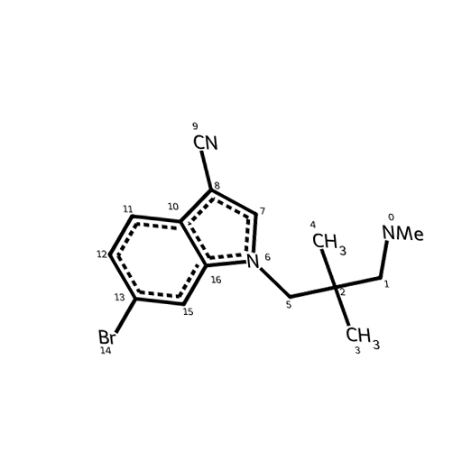 CNCC(C)(C)Cn1cc(C#N)c2ccc(Br)cc21